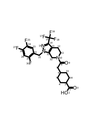 O=C(O)C1CCC(CC(=O)N2CCc3c(C(F)(F)F)nn(Cc4cc(F)c(F)cc4F)c3C2)CC1